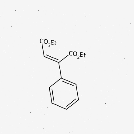 CCOC(=O)C=C(C(=O)OCC)c1ccccc1